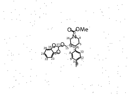 COC(=O)N1CC[C@@H](c2ccc(F)cc2)[C@H](COC2Oc3ccccc3O2)C1